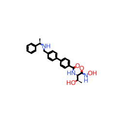 C[C@@H](NCc1ccc(-c2ccc(C(=O)N[C@H](C(=O)NO)[C@@H](C)O)cc2)cc1)c1ccccc1